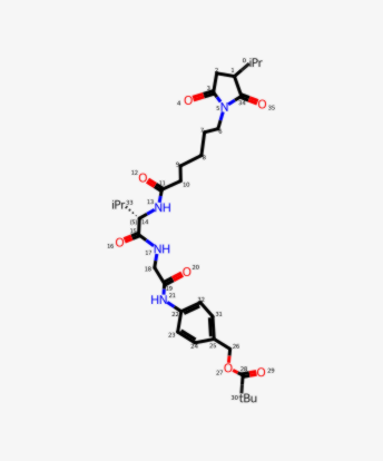 CC(C)C1CC(=O)N(CCCCCC(=O)N[C@H](C(=O)NCC(=O)Nc2ccc(COC(=O)C(C)(C)C)cc2)C(C)C)C1=O